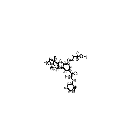 CC(C)(O)CCOc1cc(C(=O)NCc2cccnn2)cc2c(Br)c(C(F)(F)P(=O)(O)O)sc12